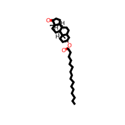 CCCCCCCCCCCCCCCC(=O)O[C@@H]1CC[C@@]2(C)C(CC[C@@H]3[C@@H]2CC[C@]2(C)C(=O)CC[C@@H]32)C1